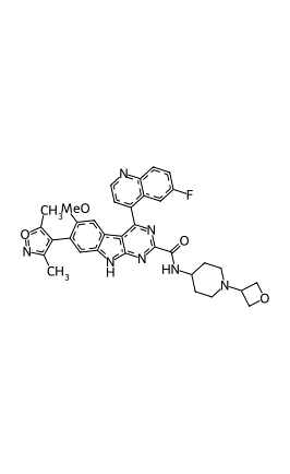 COc1cc2c(cc1-c1c(C)noc1C)[nH]c1nc(C(=O)NC3CCN(C4COC4)CC3)nc(-c3ccnc4ccc(F)cc34)c12